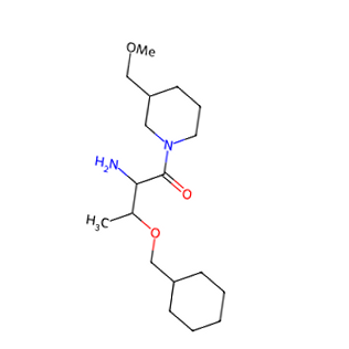 COCC1CCCN(C(=O)C(N)C(C)OCC2CCCCC2)C1